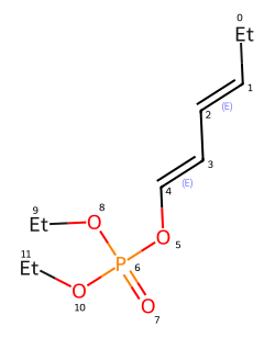 CC/C=C/C=C/OP(=O)(OCC)OCC